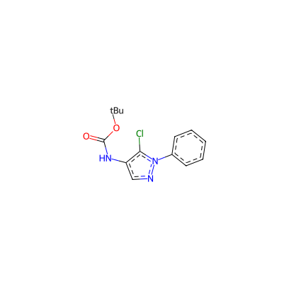 CC(C)(C)OC(=O)Nc1cnn(-c2ccccc2)c1Cl